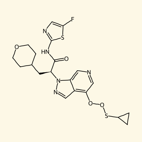 O=C(Nc1ncc(F)s1)[C@H](CC1CCOCC1)n1ncc2c(OOSC3CC3)cncc21